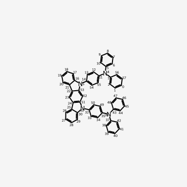 c1ccc(N(c2ccccc2)c2ccc(-n3c4ccccc4c4cc5c6ccccc6n(-c6ccc(N(c7ccccc7)c7ccccc7)cc6)c5cc43)cc2)cc1